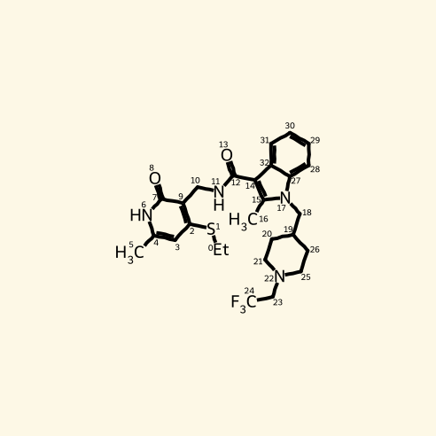 CCSc1cc(C)[nH]c(=O)c1CNC(=O)c1c(C)n(CC2CCN(CC(F)(F)F)CC2)c2ccccc12